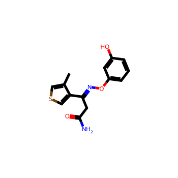 Cc1cscc1/C(CC(N)=O)=N/Oc1cccc(O)c1